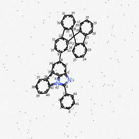 c1ccc(-c2nc3cc(-c4ccc5c(c4)C4(c6ccccc6-c6ccccc64)c4ccccc4-5)cc4c5ccccc5n2c34)cc1